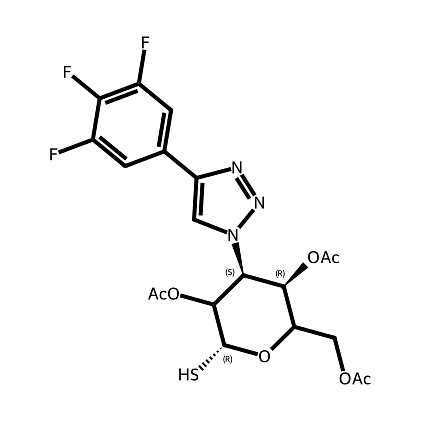 CC(=O)OCC1O[C@H](S)C(OC(C)=O)[C@@H](n2cc(-c3cc(F)c(F)c(F)c3)nn2)[C@H]1OC(C)=O